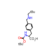 CC(C)(C)CNCc1ccc(CC(NC(=O)OC(C)(C)C)C(=O)O)cc1